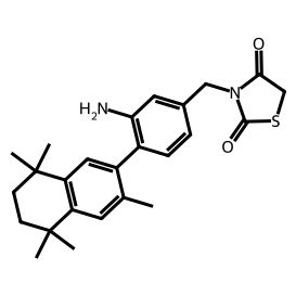 Cc1cc2c(cc1-c1ccc(CN3C(=O)CSC3=O)cc1N)C(C)(C)CCC2(C)C